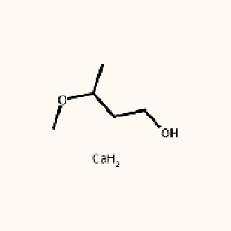 COC(C)CCO.[CaH2]